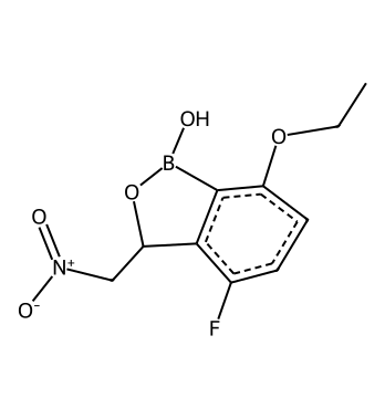 CCOc1ccc(F)c2c1B(O)OC2C[N+](=O)[O-]